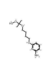 CC(C)(OS)OCCCCOc1cccc(N)n1